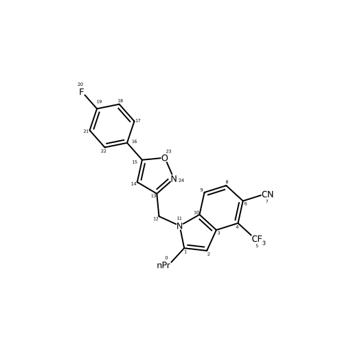 CCCc1cc2c(C(F)(F)F)c(C#N)ccc2n1Cc1cc(-c2ccc(F)cc2)on1